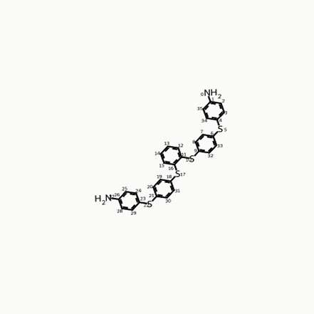 Nc1ccc(Sc2ccc(Sc3ccccc3Sc3ccc(Sc4ccc(N)cc4)cc3)cc2)cc1